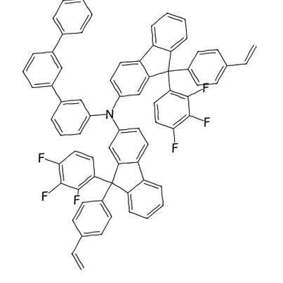 C=Cc1ccc(C2(c3ccc(F)c(F)c3F)c3ccccc3-c3ccc(N(c4cccc(-c5cccc(-c6ccccc6)c5)c4)c4ccc5c(c4)C(c4ccc(C=C)cc4)(c4ccc(F)c(F)c4F)c4ccccc4-5)cc32)cc1